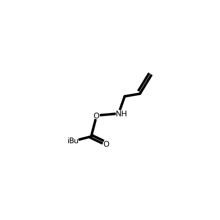 C=CCNOC(=O)C(C)CC